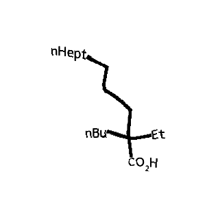 CCCCCCCCCCC(CC)(CCCC)C(=O)O